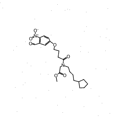 COC(=O)CN(CCCCC1CCCC1)C(=O)CCCOc1ccc([N+](=O)[O-])c(C=O)c1